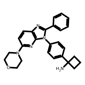 NC1(c2ccc(-n3c(-c4ccccc4)nc4ccc(N5CCOCC5)nc43)cc2)CCC1